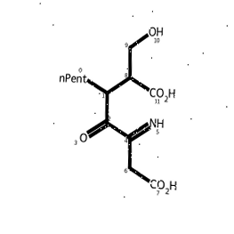 CCCCCC(C(=O)C(=N)CC(=O)O)C(CO)C(=O)O